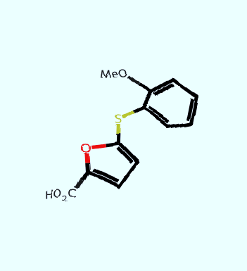 COc1ccccc1Sc1ccc(C(=O)O)o1